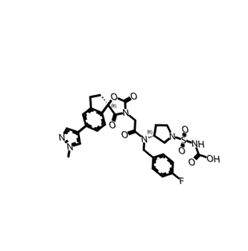 Cn1cc(-c2ccc3c(c2)CC[C@@]32OC(=O)N(CC(=O)N(Cc3ccc(F)cc3)[C@@H]3CCN(S(=O)(=O)NC(=O)O)C3)C2=O)cn1